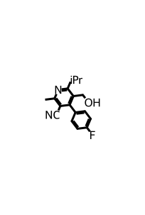 Cc1nc(C(C)C)c(CO)c(-c2ccc(F)cc2)c1C#N